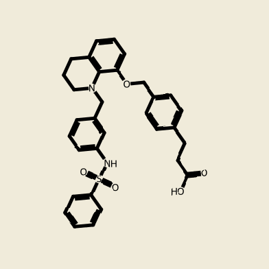 O=C(O)CCc1ccc(COc2cccc3c2N(Cc2cccc(NS(=O)(=O)c4ccccc4)c2)CCC3)cc1